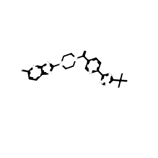 CC(C)(C)c1nc(-c2ccc(C(=O)N3CCN(c4nc5nc(Cl)ccc5o4)CC3)cn2)no1